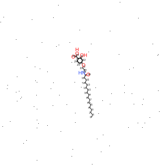 CCCCCCCCCCCCCCCCCC(=O)NCCOc1ccc(C(=O)O)c(O)c1